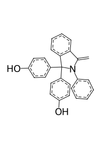 C=C1c2ccccc2C(c2ccc(O)cc2)(c2ccc(O)cc2)N1c1ccccc1